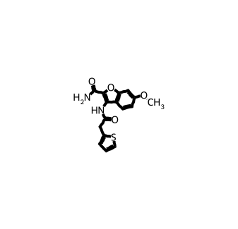 COc1ccc2c(NC(=O)Cc3cccs3)c(C(N)=O)oc2c1